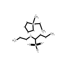 CCCOC(CCC)S(=O)(=O)[O-].CC[N+]1(C)CCCC1